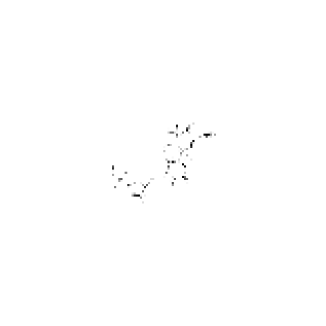 CCC(C)(C)CC[C@@](C)(CC[C@]1(C)C(C)C(=O)C=C2[C@@]3(C)C=C(C#N)C(=O)C(C)(C)[C@]3(C)CC[C@]21C)C(C)=O